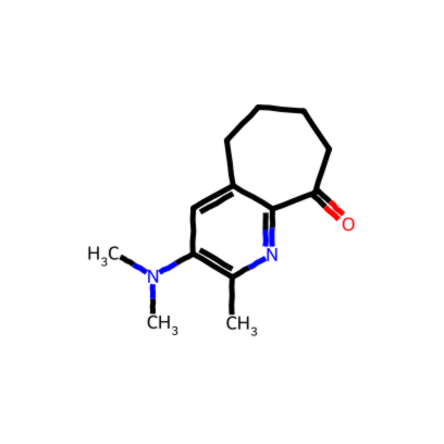 Cc1nc2c(cc1N(C)C)CCCCC2=O